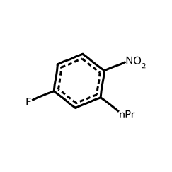 CCCc1cc(F)ccc1[N+](=O)[O-]